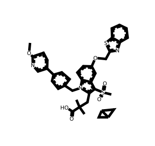 C1C2CC12.COc1ccc(-c2ccc(Cn3c(CC(C)(C)C(=O)O)c(S(C)(=O)=O)c4cc(OCc5nc6ccccc6s5)ccc43)cc2)cn1